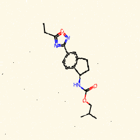 CCc1nc(-c2ccc3c(c2)CC[C@H]3NC(=O)OCC(C)C)no1